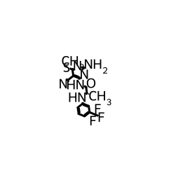 CSc1nc(N)nc(NC(=O)[C@H](C)Nc2cccc(C(F)(F)F)c2)c1C#N